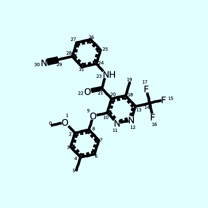 COc1cc(C)ccc1Oc1nnc(C(F)(F)F)c(C)c1C(=O)Nc1cccc(C#N)c1